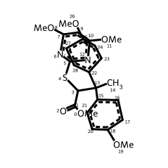 COC(=O)C(Sc1nc(OC)cc(OC)n1)C(C)(c1ccc(OC)cc1)c1ccc(OC)cc1